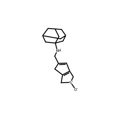 [O-][S+]1CC2=C(CC(CNC34CC5CC(CC(C5)C3)C4)=C2)C1